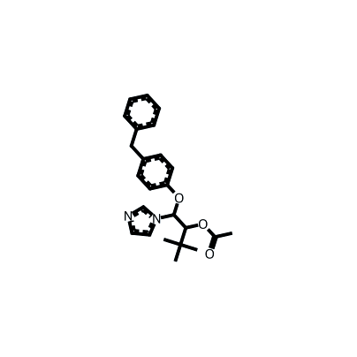 CC(=O)OC(C(Oc1ccc(Cc2ccccc2)cc1)n1ccnc1)C(C)(C)C